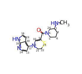 CN[C@H]1CCCN(C(=O)C2=CN(c3ccnc4[nH]ccc34)CCS2)C1